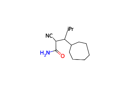 CC(C)C(C1CCCCCC1)C(C#N)C(N)=O